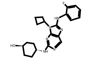 O[C@H]1CC[C@H](Nc2ncc3nc(Nc4ccccc4F)n(C4CCC4)c3n2)CC1